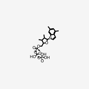 Cc1cc(C)c2ccn(C3OC(COP(C)(=O)OP(=O)(O)OP(=O)(O)O)C(C)C3C)c2c1